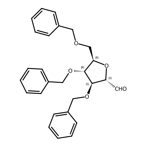 O=C[C@H]1O[C@H](COCc2ccccc2)[C@@H](OCc2ccccc2)[C@@H]1OCc1ccccc1